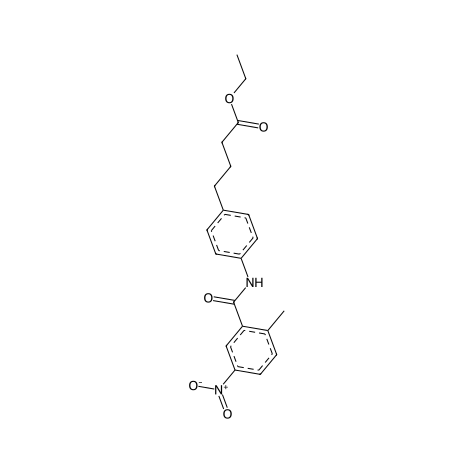 CCOC(=O)CCCc1ccc(NC(=O)c2cc([N+](=O)[O-])ccc2C)cc1